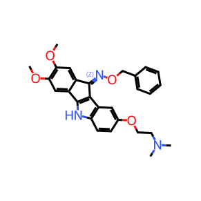 COc1cc2c(cc1OC)-c1[nH]c3ccc(OCCN(C)C)cc3c1/C2=N\OCc1ccccc1